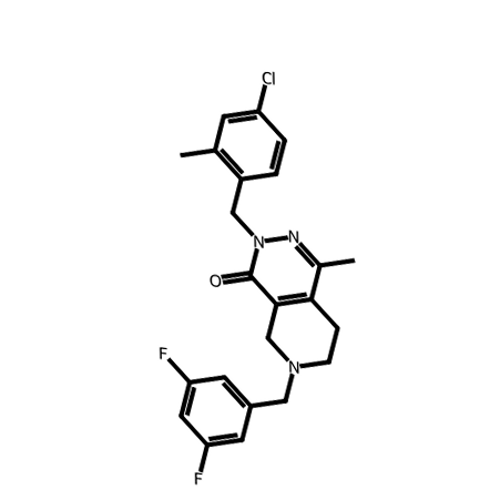 Cc1cc(Cl)ccc1Cn1nc(C)c2c(c1=O)CN(Cc1cc(F)cc(F)c1)CC2